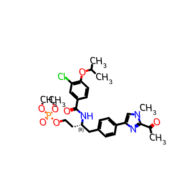 COP(=O)(OC)OCC[C@@H](Cc1ccc(-c2cn(C)c(C(C)=O)n2)cc1)NC(=O)c1ccc(OC(C)C)c(Cl)c1